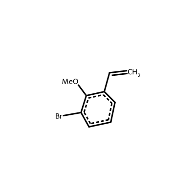 C=Cc1cccc(Br)c1OC